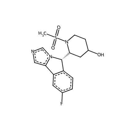 CS(=O)(=O)N1CCC(O)CC1[C@@H]1c2ccc(F)cc2-c2cncn21